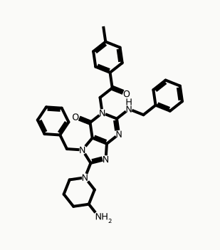 Cc1ccc(C(=O)Cn2c(NCc3ccccc3)nc3nc(N4CCCC(N)C4)n(Cc4ccccc4)c3c2=O)cc1